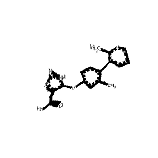 Cc1cc(Oc2[nH]nnc2C(=O)O)ccc1-c1cccnc1C